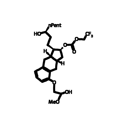 CCCCC[C@H](O)CC[C@@H]1[C@H]2Cc3cccc(OCC(O)OC)c3C[C@H]2C[C@H]1OC(=O)OCC(F)(F)F